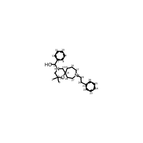 CC1(C)CN(C(O)c2ccccc2)CC2(CCCN(CCc3ccccc3)CC2)O1